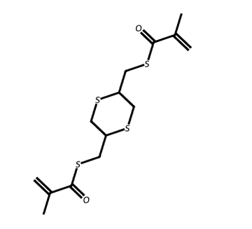 C=C(C)C(=O)SCC1CSC(CSC(=O)C(=C)C)CS1